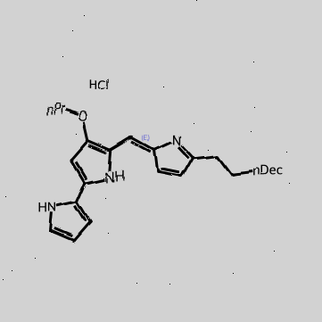 CCCCCCCCCCCCC1=N/C(=C/c2[nH]c(-c3ccc[nH]3)cc2OCCC)C=C1.Cl